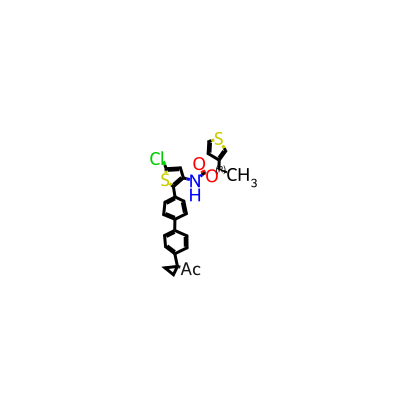 CC(=O)C1(c2ccc(-c3ccc(-c4sc(Cl)cc4NC(=O)O[C@H](C)c4ccsc4)cc3)cc2)CC1